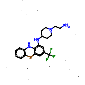 NCCN1CCC(Nc2cc(C(F)(F)F)cc3c2Nc2ccccc2S3)CC1